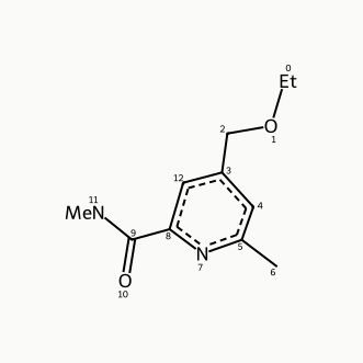 CCOCc1cc(C)nc(C(=O)NC)c1